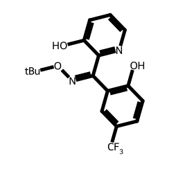 CC(C)(C)ON=C(c1cc(C(F)(F)F)ccc1O)c1ncccc1O